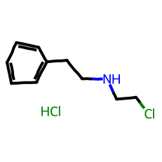 Cl.ClCCNCCc1ccccc1